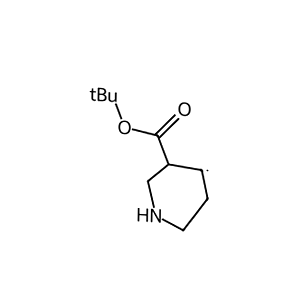 CC(C)(C)OC(=O)C1[CH]CCNC1